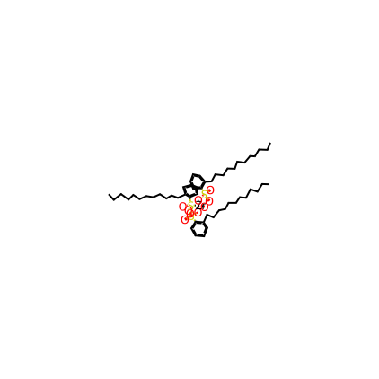 CCCCCCCCCCCCc1ccccc1S(=O)(=O)[O][Zr](=[O])([O]S(=O)(=O)c1ccccc1CCCCCCCCCCCC)[S](=O)(=O)c1ccccc1CCCCCCCCCCCC